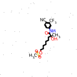 C[C@](O)(CCCCCCCOS(C)(=O)=O)C(=O)Nc1ccc(C#N)c(C(F)(F)F)c1